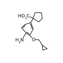 Nc1ccc(C2(C(=O)O)CCCC2)cc1OCC1CC1